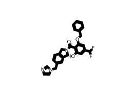 O=C(c1c(O)cc(C(F)F)cc1OCc1ccccc1)N1Cc2ccc(Cn3ccnc3)cc2C1